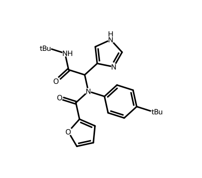 CC(C)(C)NC(=O)C(c1c[nH]cn1)N(C(=O)c1ccco1)c1ccc(C(C)(C)C)cc1